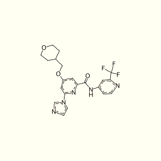 O=C(Nc1ccnc(C(F)(F)F)c1)c1cc(OCC2CCOCC2)cc(-n2ccnc2)n1